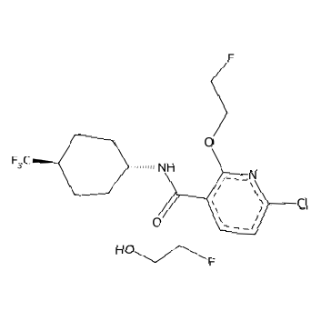 O=C(N[C@H]1CC[C@H](C(F)(F)F)CC1)c1ccc(Cl)nc1OCCF.OCCF